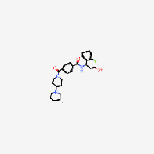 C[C@@H]1CCCN(C2CCN(C(=O)c3ccc(C(=O)NC(CCO)c4ccccc4F)cc3)CC2)C1